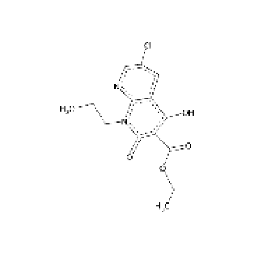 CCCn1c(=O)c(C(=O)OCC)c(O)c2cc(Cl)cnc21